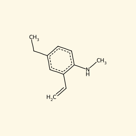 C=Cc1cc(CC)ccc1NC